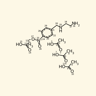 CC(=O)O.CC(=O)O.CC(=O)O.CC(=O)O.NCCNCc1ccc([N+](=O)[O-])cc1